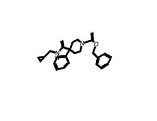 C=C(OCc1ccccc1)N1CCC(C(=C)NCC2CC2)(c2ccccc2)CC1